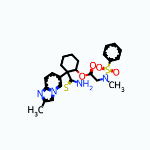 Cc1cn2cc(C3(C(N)=S)CCCCC3OC(=O)CN(C)S(=O)(=O)c3ccccc3)ccc2n1